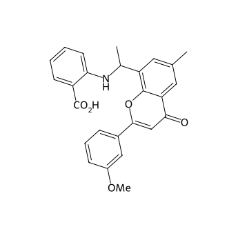 COc1cccc(-c2cc(=O)c3cc(C)cc(C(C)Nc4ccccc4C(=O)O)c3o2)c1